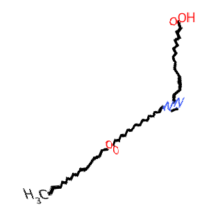 CCCCCCCCCCCCCCCCOC(=O)CCCCCCCCCCCCCCCN1CCN=C1CCCCCCCCCCCCCCC(=O)O